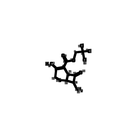 CC1=C(C(=O)OCC(Cl)(Cl)Cl)N2C(=O)C(N)C2SC1